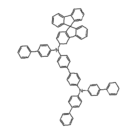 C1=CC(c2ccc(N(c3ccc(-c4ccccc4)cc3)c3ccc(-c4ccc(N(c5ccc(-c6ccccc6)cc5)C5C=CC6=C(C5)c5ccccc5C65c6ccccc6-c6ccccc65)cc4)cc3)cc2)=CCC1